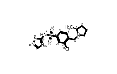 C[C@H]1CCCN1Cc1ccc(S(=O)(=O)Nc2ncns2)cc1Cl